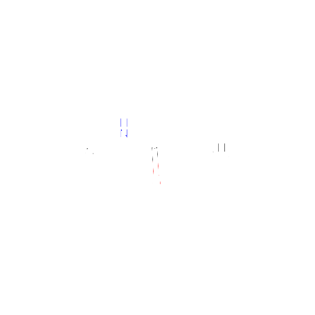 C=CC(=O)NC(C)=O